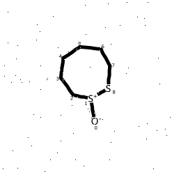 [O-][S+]1CCCCCCS1